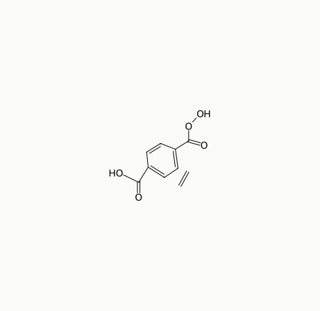 C=C.O=C(O)c1ccc(C(=O)OO)cc1